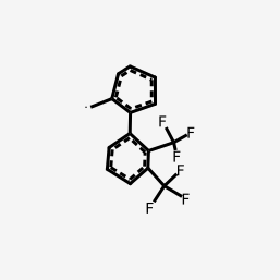 [CH2]c1ccccc1-c1cccc(C(F)(F)F)c1C(F)(F)F